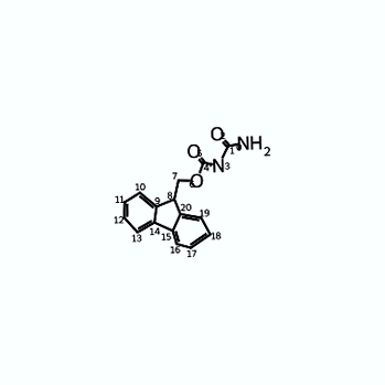 NC(=O)[N]C(=O)OCC1c2ccccc2-c2ccccc21